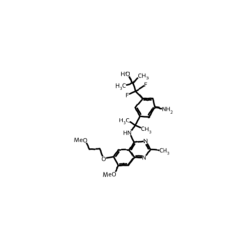 COCCOc1cc2c(NC(C)(C)c3cc(N)cc(C(F)(F)C(C)(C)O)c3)nc(C)nc2cc1OC